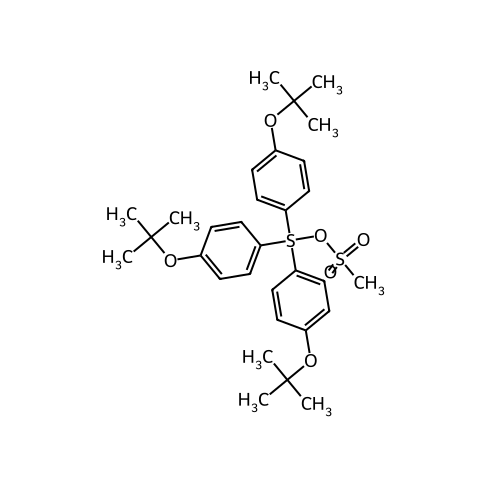 CC(C)(C)Oc1ccc(S(OS(C)(=O)=O)(c2ccc(OC(C)(C)C)cc2)c2ccc(OC(C)(C)C)cc2)cc1